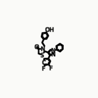 O=C1CSC(c2cn(-c3ccccc3)nc2-c2ccc(F)c(F)c2)N1CCc1ccc(O)cc1